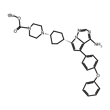 CC(C)(C)OC(=O)N1CCN([C@H]2CC[C@@H](c3cc(-c4ccc(Oc5ccccc5)cc4)c4c(N)ncnn43)CC2)CC1